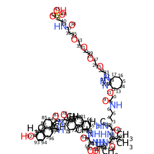 CN[C@H](CCCCNC(=O)COC1CCCCCc2c1nnn2CCOCCOCCOCCOCCC(=O)NCCS(=O)(=O)O)C(=O)N[C@H](C(=O)N[C@@H](C)C(=O)N[C@@H](CO)C(=O)Nc1ccc2c(c1)[C@@]1(C)CCC[C@](C)(C(=O)NC(=O)[C@@]3(C)CCC[C@]4(C)c5cc(O)ccc5CC[C@@H]34)[C@@H]1CC2)C(C)C